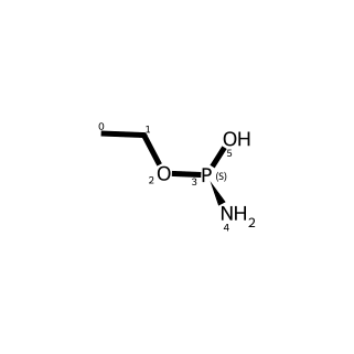 CCO[P@](N)O